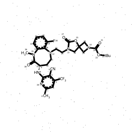 Cc1cc(C(F)(F)F)c(C#N)c(N[C@H]2CCN(CCN3CC4(CN(C(=O)OC(C)(C)C)C4)OC3=O)c3c(F)cccc3N(C)C2=O)n1